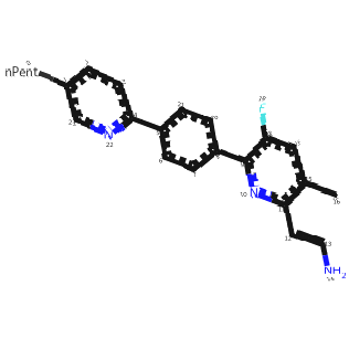 CCCCCc1ccc(-c2ccc(-c3nc(/C=C/N)c(C)cc3F)cc2)nc1